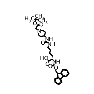 CC(C)(C)OC(=O)CN1CCC(NC(=O)NCCCC[C@@H](NC(=O)OCC2c3ccccc3-c3ccccc32)C(=O)O)CC1